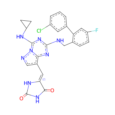 O=C1NC(=O)/C(=C/c2cnn3c(NC4CC4)nc(NCc4ccc(F)cc4-c4cccc(Cl)c4)nc23)N1